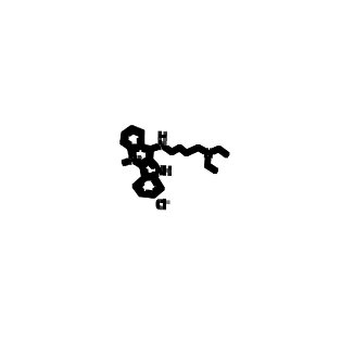 CCN(CC)CCCCNc1c2ccccc2[n+](C)c2c1[nH]c1ccccc12.[Cl-]